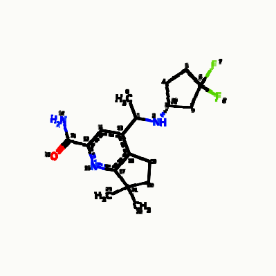 CC(N[C@@H]1CCC(F)(F)C1)c1cc(C(N)=O)nc2c1CCC2(C)C